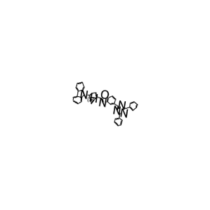 C1=C(c2nc3cc(-c4nc(-c5ccccc5)nc(-c5ccccc5)n4)ccc3o2)C2=C[C@@H]2C(n2c3ccccc3c3ccccc32)=C1